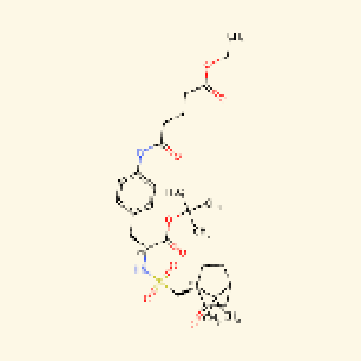 CCOC(=O)CCCC(=O)Nc1ccc(C[C@H](NS(=O)(=O)C[C@]23CCC(CC2=O)C3(C)C)C(=O)OC(C)(C)C)cc1